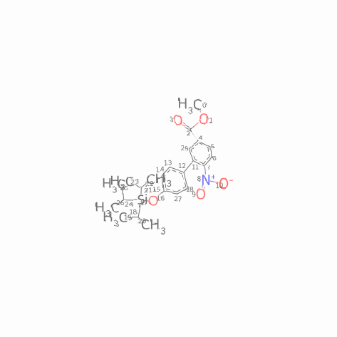 COC(=O)c1ccc([N+](=O)[O-])c(-c2ccc(O[Si](C(C)C)(C(C)C)C(C)C)cc2)c1